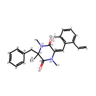 C=Cc1cccc([N+](=O)[O-])c1C=C1C(=O)N(C)C(CC)(Cc2ccccc2)C(=O)N1C